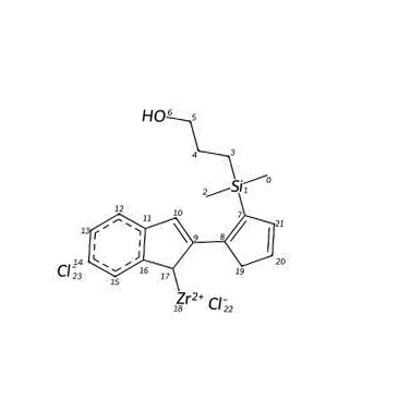 C[Si](C)(CCCO)C1=C(C2=Cc3ccccc3[CH]2[Zr+2])CC=C1.[Cl-].[Cl-]